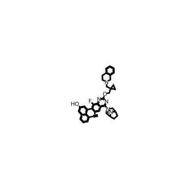 C#Cc1cccc2cc(O)cc(-c3c(C)cc4c(N5CC6CCC(C5)N6)nc(OCC5(CN6CCc7ccccc7C6)CC5)nc4c3F)c12